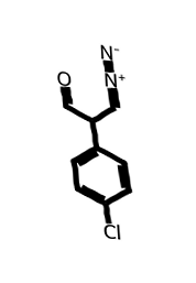 [N-]=[N+]=CC(C=O)c1ccc(Cl)cc1